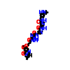 C=C1C[C@H]2C=Nc3cc(OCCCC(=O)Nc4cn(C)c(C(=O)Nc5cc(C(=O)Nc6cc(C(=O)NCc7ccc(NC(C)(C)C)cc7)n(C)c6)n(C)c5)n4)c(OC)cc3C(=O)N2C1